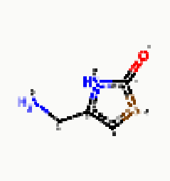 NCc1csc(=O)[nH]1